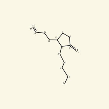 CCCCCC1C(=O)CCC1CCC=O